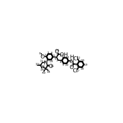 COc1ccc(C(Cc2ccc(NC(=O)c3c(Cl)cccc3Cl)cc2)C(=O)O)cc1N(CC(C)C)C(=O)C(C)(C)C